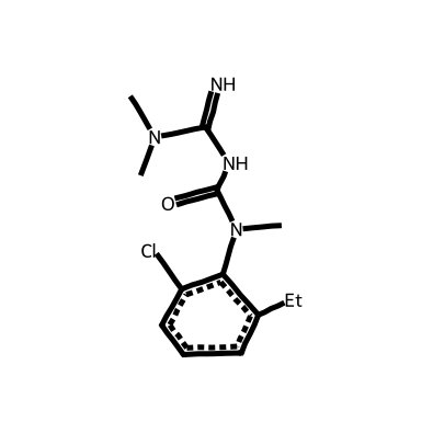 CCc1cccc(Cl)c1N(C)C(=O)NC(=N)N(C)C